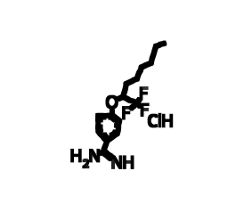 CCCCCCC(Oc1ccc(C(=N)N)cc1)C(F)(F)F.Cl